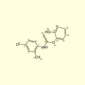 Cc1cc(Cl)ccc1NC(=S)Oc1ccccc1O